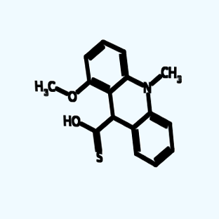 COc1cccc2c1C(C(O)=S)c1ccccc1N2C